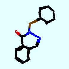 O=c1c2ccccc2cnn1SC1CCCCC1